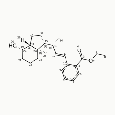 CCOC(=O)c1ccccc1C=C[C@@H](C)[C@H]1CC[C@H]2[C@@H](O)CCC[C@]12C